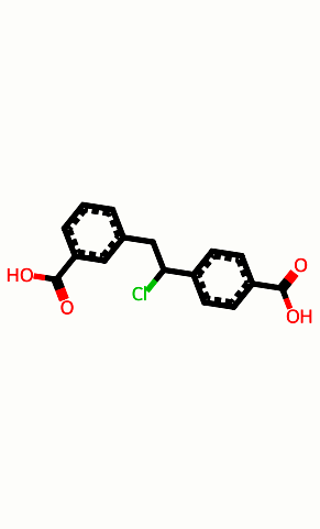 O=C(O)c1ccc(C(Cl)Cc2cccc(C(=O)O)c2)cc1